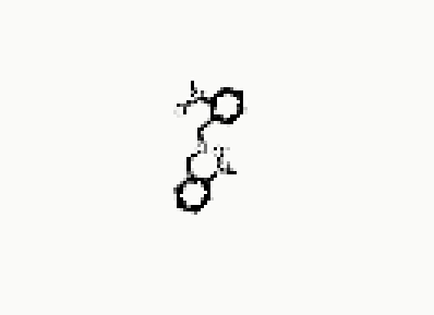 C[S+]([O-])c1ccccc1COCc1ccccc1[S+](C)[O-]